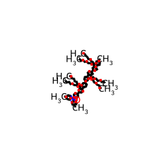 CCCCCCCCC1(CCCCCCCC)c2cc(C)ccc2-c2ccc(-c3ccc4c(c3)C(CCCCCCCC)(CCCCCCCC)c3cc(-c5ccc6c(c5)C(CCCCCCCC)(CCCCCCCC)c5cc(-c7ccc8c(c7)Oc7cc(C)ccc7N8c7ccc(C)cc7)ccc5-6)ccc3-4)cc21